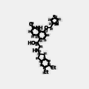 CCc1cc2c(cc1CC)CC(NC[C@@H](O)c1ccc(OCc3cscn3)c3[nH]c(=O)ccc13)C2